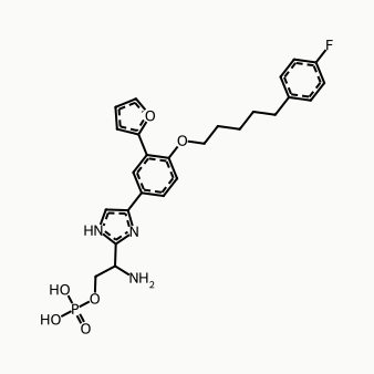 NC(COP(=O)(O)O)c1nc(-c2ccc(OCCCCCc3ccc(F)cc3)c(-c3ccco3)c2)c[nH]1